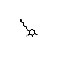 C=CCCCOC1CCC(C)C(F)C1F